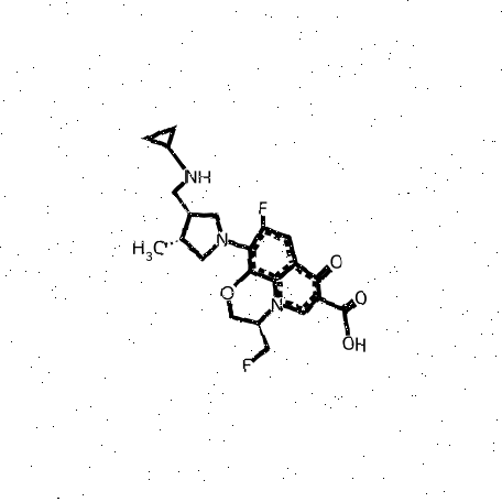 C[C@H]1CN(c2c(F)cc3c(=O)c(C(=O)O)cn4c3c2OC[C@@H]4CF)C[C@@H]1CNC1CC1